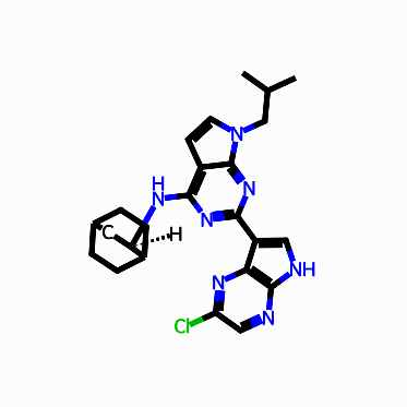 CC(C)Cn1ccc2c(N[C@@H]3CC4CCC3CC4)nc(-c3c[nH]c4ncc(Cl)nc34)nc21